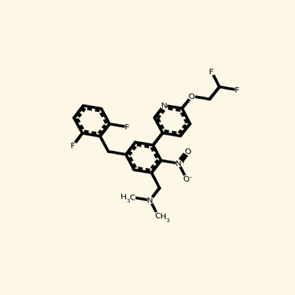 CN(C)Cc1[c]c(Cc2c(F)cccc2F)cc(-c2ccc(OCC(F)F)nc2)c1[N+](=O)[O-]